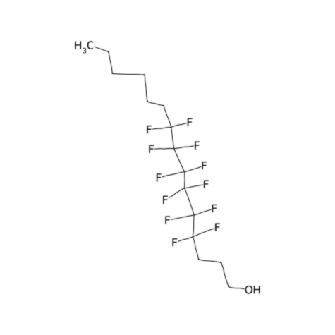 CCCCCCC(F)(F)C(F)(F)C(F)(F)C(F)(F)C(F)(F)C(F)(F)CCCO